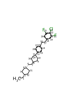 CC[C@H]1CC[C@H](CCC2CCC(c3ccc(CCc4cc(F)c(Cl)c(F)c4)cc3)CC2)CC1